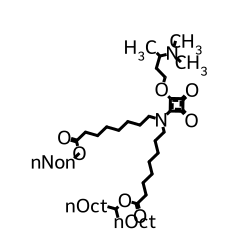 CCCCCCCCCOC(=O)CCCCCCCN(CCCCCCCC(=O)OC(CCCCCCCC)CCCCCCCC)c1c(OCCC(C)N(C)C)c(=O)c1=O